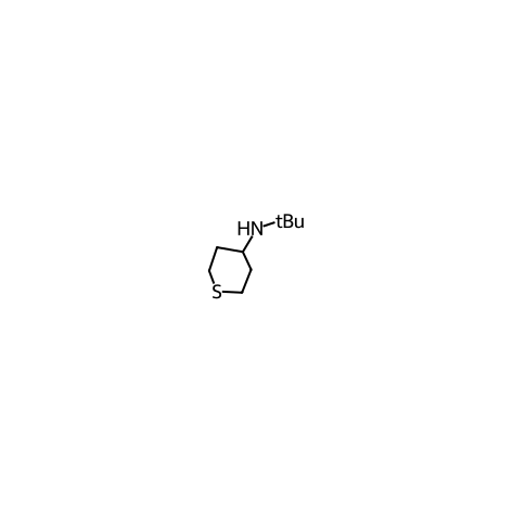 CC(C)(C)NC1CCSCC1